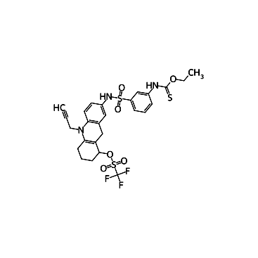 C#CCN1C2=C(Cc3cc(NS(=O)(=O)c4cccc(NC(=S)OCC)c4)ccc31)C(OS(=O)(=O)C(F)(F)F)CCC2